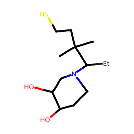 CCC(N1CCC(O)C(O)C1)C(C)(C)CCS